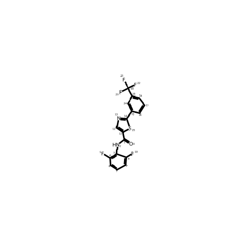 O=C(Nc1c(F)cccc1F)c1cnc(-c2cccc(C(F)(F)F)c2)s1